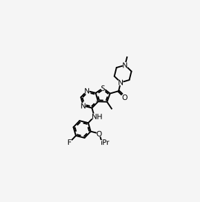 Cc1c(C(=O)N2CCN(C)CC2)sc2ncnc(Nc3ccc(F)cc3OC(C)C)c12